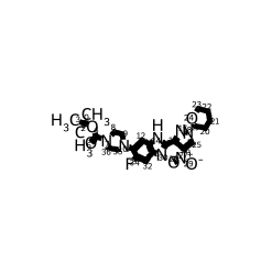 CC(C)(C)OC(=O)N1CCN(c2cc3[nH]c(-c4nn(C5CCCCO5)cc4[N+](=O)[O-])nc3cc2F)CC1